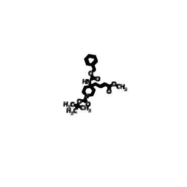 COC(=O)C=CCC1(NC(=O)OCc2ccccc2)CCN(C(=O)OC(C)(C)C)CC1